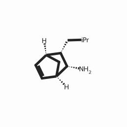 CC(C)C[C@@H]1[C@H](N)[C@H]2C=C[C@@H]1C2